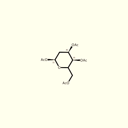 CC(=O)OCC1O[C@@H](OC(C)=O)C[C@@H](OC(C)=O)[C@H]1OC(C)=O